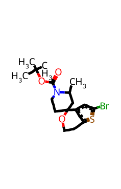 CC1CC2(CCN1C(=O)OC(C)(C)C)OCCc1sc(Br)cc12